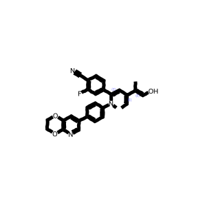 C/C=C(\C=C(\c1ccc(C#N)c(F)c1)N(C)c1ccc(-c2cnc3c(c2)OCCO3)cc1)C(/C)=C/O